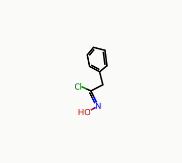 ON=C(Cl)Cc1ccccc1